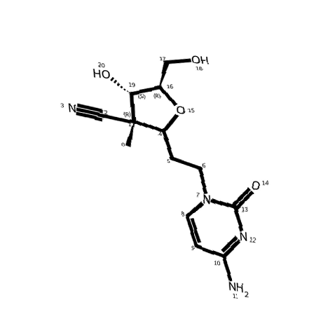 C[C@]1(C#N)C(CCn2ccc(N)nc2=O)O[C@H](CO)[C@H]1O